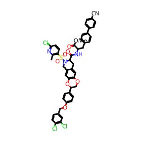 COC(=O)C(Cc1ccc(-c2ccc(C#N)cc2)cc1)NC(=O)C1Cc2cc3c(cc2CN1S(=O)(=O)c1ccc(Cl)nc1C)OC(c1ccc(OCc2ccc(Cl)c(Cl)c2)cc1)CO3